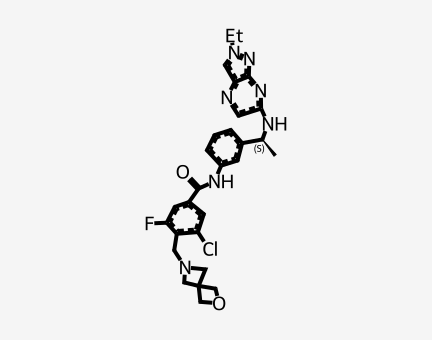 CCn1cc2ncc(N[C@@H](C)c3cccc(NC(=O)c4cc(F)c(CN5CC6(COC6)C5)c(Cl)c4)c3)nc2n1